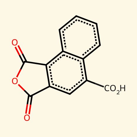 O=C1OC(=O)c2c1cc(C(=O)O)c1ccccc21